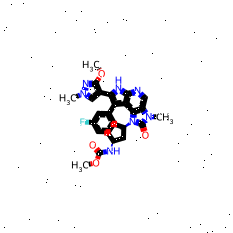 COC(=O)N[C@@H]1CC[C@@H](n2c(=O)n(C)c3cnc4[nH]c(-c5cn(C)nc5OC)c(-c5cccc(F)c5)c4c32)C1